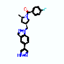 C[C@@H]1C[C@H](Cn2ncc3cc(-c4cn[nH]c4)ccc32)CN1C(=O)c1ccc(F)cc1